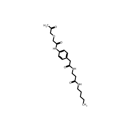 CCCCCNC(=O)CCNC(=O)Cc1ccc(NC(=O)COCC(C)=O)cc1